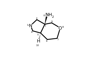 N[C@]12C[N]C[C@@H]1CCOC2